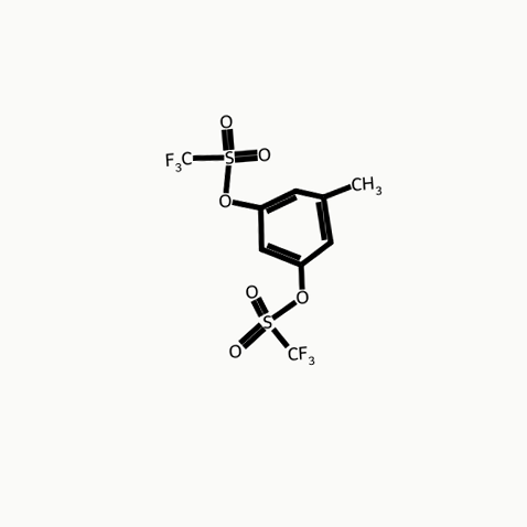 Cc1cc(OS(=O)(=O)C(F)(F)F)cc(OS(=O)(=O)C(F)(F)F)c1